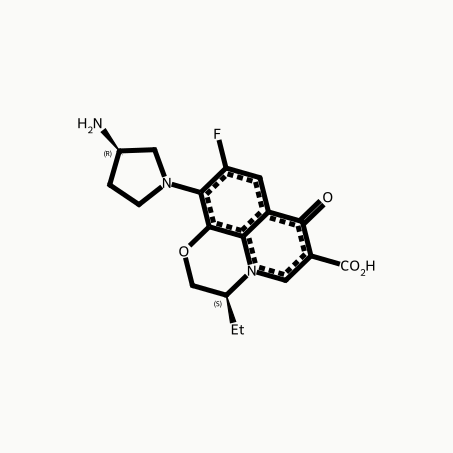 CC[C@H]1COc2c(N3CC[C@@H](N)C3)c(F)cc3c(=O)c(C(=O)O)cn1c23